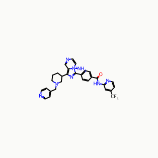 N[N+]12C=CN=CC1=C(C1CCCN(Cc3ccncc3)C1)N=C2c1ccc(C(=O)Nc2cc(C(F)(F)F)ccn2)cc1